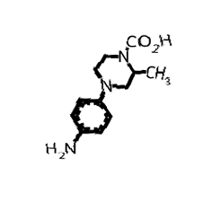 CC1CN(c2ccc(N)cc2)CCN1C(=O)O